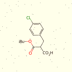 CCC(C)OC(=O)C(Cc1ccc(Cl)cc1)C(=O)O